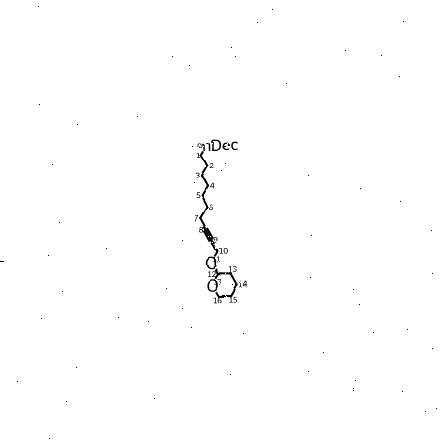 CCCCCCCCCCCCCCCCCC#CCOC1CCCCO1